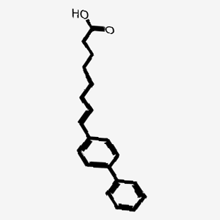 O=C(O)CCCCCC=Cc1ccc(-c2ccccc2)cc1